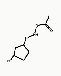 CCC1CCC(NNOC(=O)C(F)(F)F)C1